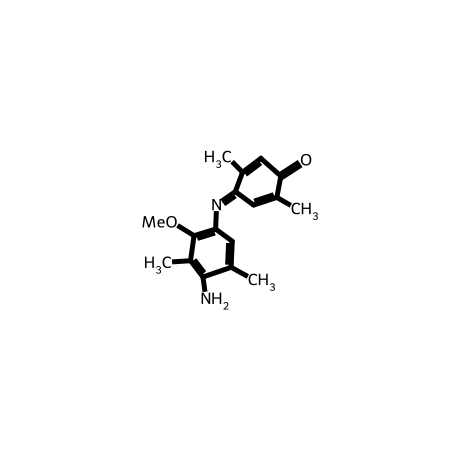 COc1c(N=C2C=C(C)C(=O)C=C2C)cc(C)c(N)c1C